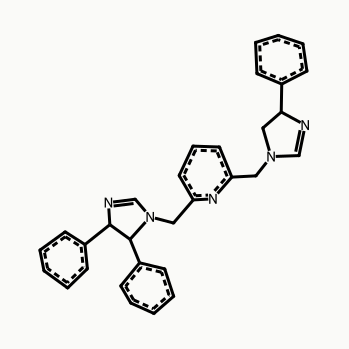 C1=NC(c2ccccc2)CN1Cc1cccc(CN2C=NC(c3ccccc3)C2c2ccccc2)n1